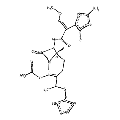 CON=C(C(=O)NC1C(=O)N2C(OC(=O)O)=C(C(C)Sc3nnn[nH]3)CS[C@@H]12)c1nc(N)sc1Cl